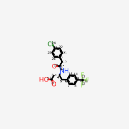 O=C(O)C[C@@H](Cc1ccc(C(F)(F)F)cc1)NC(=O)Cc1ccc(Cl)cc1